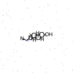 C[C@@]12CC[C@@H]3[C@H](CC[C@@H]4C[C@@H](O)CC[C@]43C)[C@H]1C/C(=C/C#N)C2